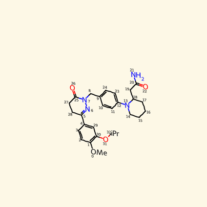 COc1ccc(C2=NN(Cc3ccc(N4CCCCC4CC(N)=O)cc3)C(=O)CC2)cc1OC(C)C